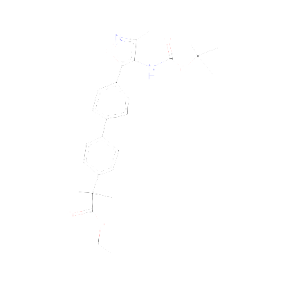 CCOC(=O)C(C)(C)c1ccc(-c2ccc(-c3onc(C)c3NC(=O)OC(C)(C)C)cc2)cc1